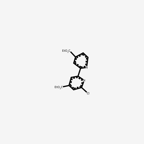 CCOC(=O)c1ccnc(-c2cc(C(=O)OCC)cc(Cl)n2)c1